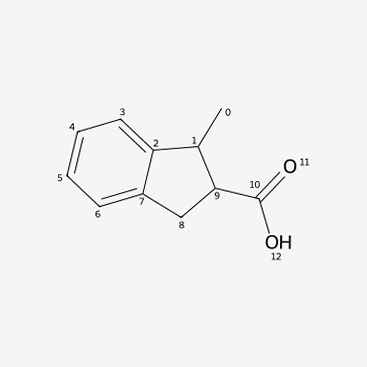 CC1c2ccccc2CC1C(=O)O